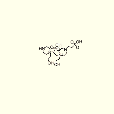 O=S(=O)(O)CCN1CC[N+](CCO)(CC([N+]2(CCO)CCNCC2)S(=O)(=O)O)CC1